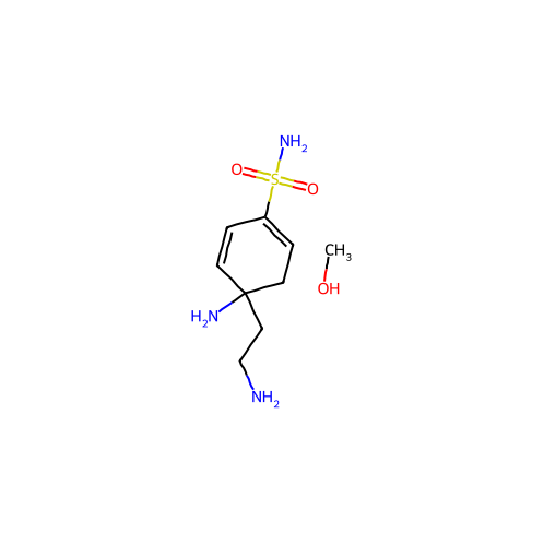 CO.NCCC1(N)C=CC(S(N)(=O)=O)=CC1